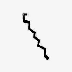 C=CCCCCCCC=CO